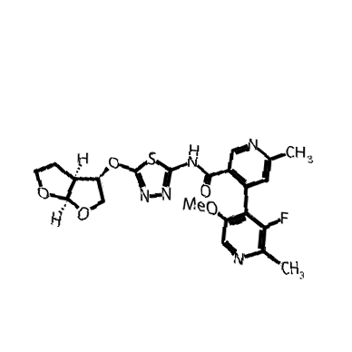 COc1cnc(C)c(F)c1-c1cc(C)ncc1C(=O)Nc1nnc(O[C@H]2CO[C@H]3OCC[C@H]32)s1